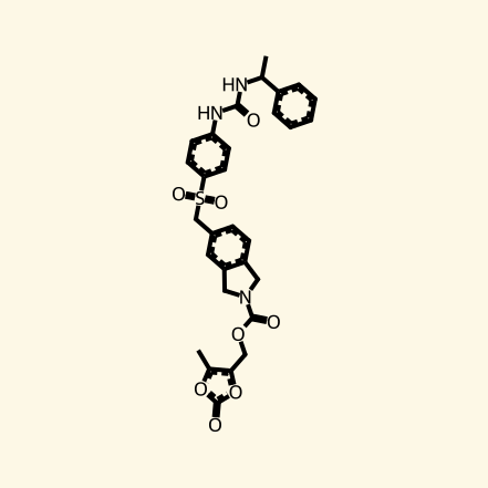 Cc1oc(=O)oc1COC(=O)N1Cc2ccc(CS(=O)(=O)c3ccc(NC(=O)NC(C)c4ccccc4)cc3)cc2C1